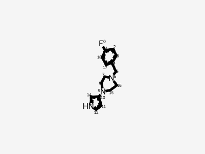 Fc1ccc(CN2CCN(c3cc[nH]c3)CC2)cc1